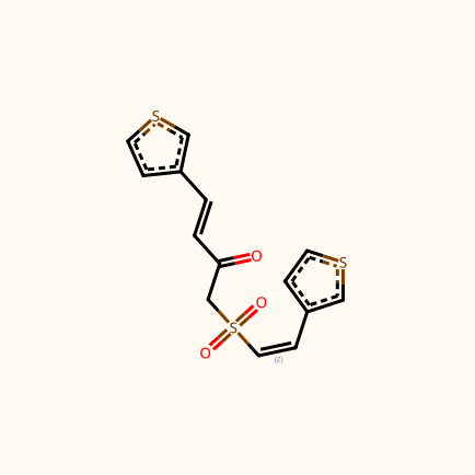 O=C(C=Cc1ccsc1)CS(=O)(=O)/C=C\c1ccsc1